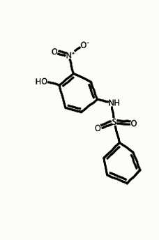 O=[N+]([O-])c1cc(NS(=O)(=O)c2ccccc2)ccc1O